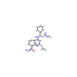 CCc1nc(N[C@H](CNC)c2ccccc2)c2cccc(C(N)=O)c2n1